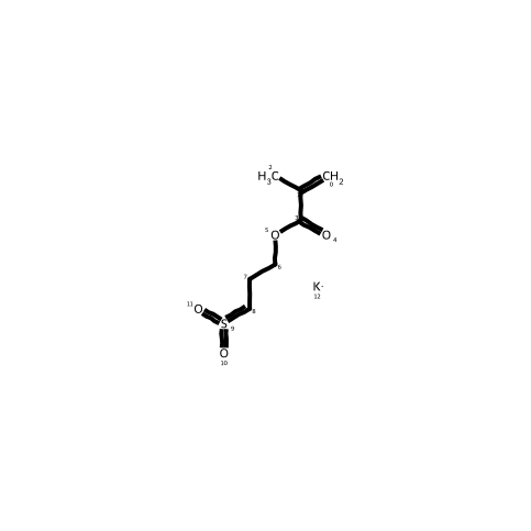 C=C(C)C(=O)OCCC=S(=O)=O.[K]